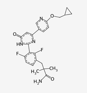 CC(C)(Cc1ccc(F)c(-c2nc(-c3ccc(OCC4CC4)nc3)cc(=O)[nH]2)c1F)C(N)=O